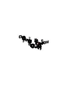 CCn1cncc1Cn1c(CN2CCC(Oc3ccc(F)c(COc4ccc(Cl)cc4F)c3)CC2)nc2c(F)cc(/C=C/C(=O)O)cc21